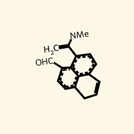 C=C(NC)c1ccc2c3c(ccc(C=O)c13)CC=C2